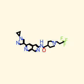 O=C(Nc1cc2cc(-c3cnn(C4CC4)c3)ncc2cn1)C1CCN(CCC(F)(F)F)CC1